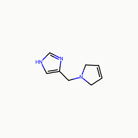 C1=CCN(Cc2c[nH]cn2)C1